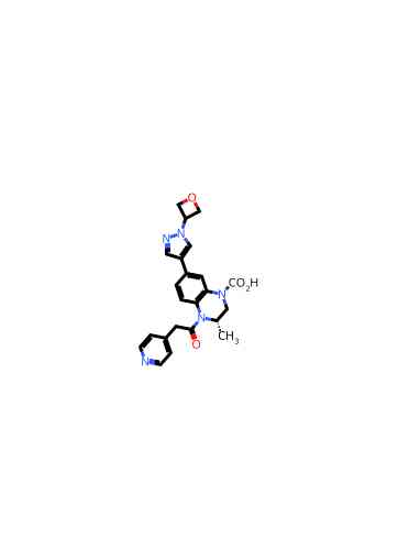 C[C@H]1CN(C(=O)O)c2cc(-c3cnn(C4COC4)c3)ccc2N1C(=O)Cc1ccncc1